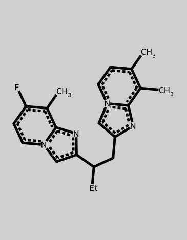 CCC(Cc1cn2ccc(C)c(C)c2n1)c1cn2ccc(F)c(C)c2n1